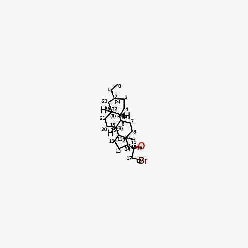 CC[C@H]1CC[C@@H]2C3CC[C@@]4(C)C(CC[C@@H]4C(=O)CBr)[C@@H]3CC[C@@H]2C1